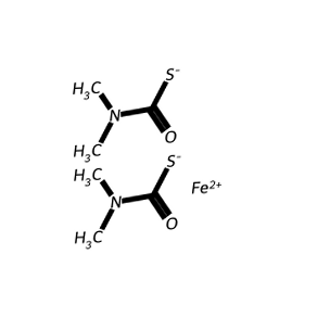 CN(C)C(=O)[S-].CN(C)C(=O)[S-].[Fe+2]